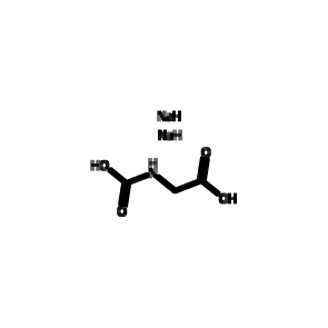 O=C(O)CNC(=O)O.[NaH].[NaH]